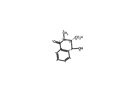 CN(C(=O)c1ccccc1)[C@@H](CO)C(=O)O